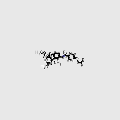 COC[C@]12CC1[C@@](C)(c1cc(/C=C(\F)c3cnc(OCC(F)F)cn3)ccc1F)N=C(N)S2